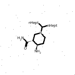 CCCCCCCC(CCCCCCC)N1CC[C@@H](N)[C@H](C(N)=O)C1